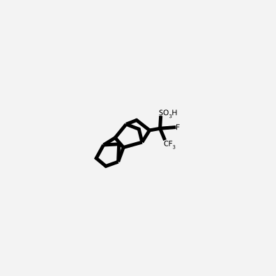 O=S(=O)(O)C(F)(C1CC2CC1C1C3CCC(C3)C21)C(F)(F)F